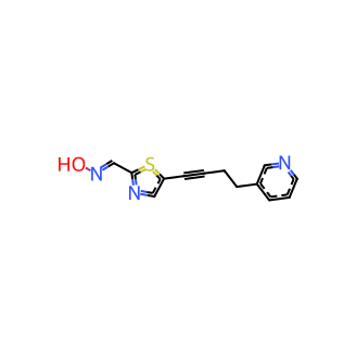 O/N=C/c1ncc(C#CCCc2cccnc2)s1